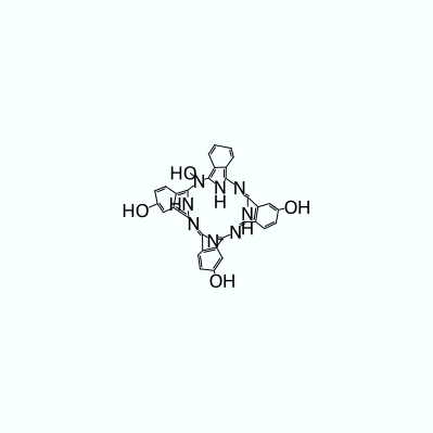 Oc1ccc2c(c1)C1=NC2=Nc2[nH]c(c3ccc(O)cc23)N(O)c2[nH]c(c3ccccc23)/N=c2\[nH]c(c3ccc(O)cc23)=N1